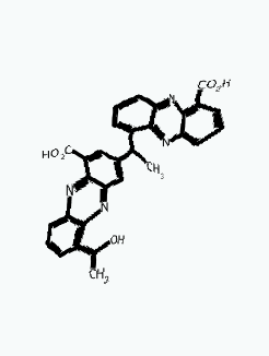 CC(O)c1cccc2nc3c(C(=O)O)cc(C(C)c4cccc5nc6c(C(=O)O)cccc6nc45)cc3nc12